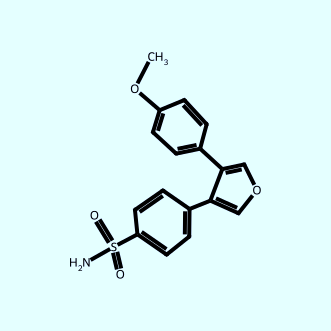 COc1ccc(-c2cocc2-c2ccc(S(N)(=O)=O)cc2)cc1